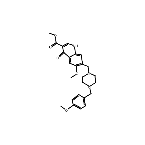 COC(=O)c1c[nH]c2cc(CN3CCN(Cc4ccc(OC)cc4)CC3)c(OC)cc2c1=O